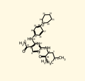 CC(C)CC(Nc1ncc(C(N)=O)c(Nc2ccc(N3CCCCC3)cc2)n1)C(N)=O